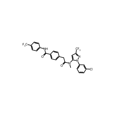 CN(C(=O)Cc1ccc(C(=O)Nc2ccc(C(F)(F)F)cc2)cc1)c1cc(C(F)(F)F)nn1-c1cccc(Cl)c1